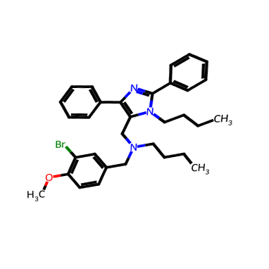 CCCCN(Cc1ccc(OC)c(Br)c1)Cc1c(-c2ccccc2)nc(-c2ccccc2)n1CCCC